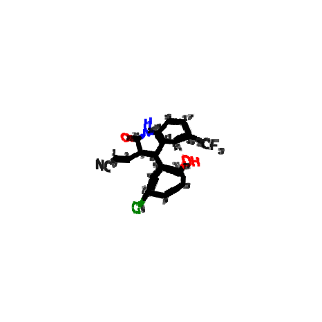 N#CC=Cc1c(-c2cc(Cl)ccc2O)c2cc(C(F)(F)F)ccc2[nH]c1=O